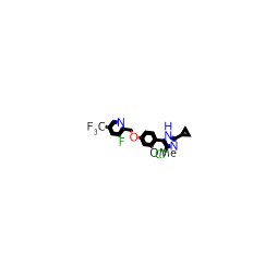 COc1cc(OCc2ncc(C(F)(F)F)cc2F)ccc1-c1[nH]c(C2CC2)nc1Cl